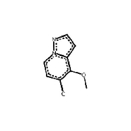 COc1c(Cl)ccn2nccc12